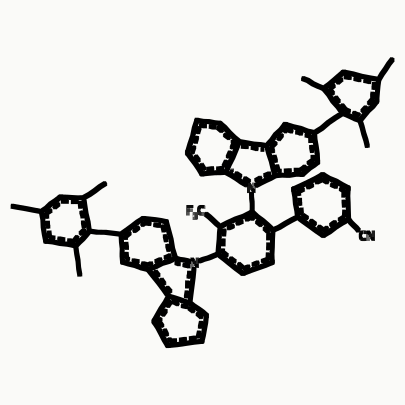 Cc1cc(C)c(-c2ccc3c(c2)c2ccccc2n3-c2ccc(-c3cccc(C#N)c3)c(-n3c4ccccc4c4cc(-c5c(C)cc(C)cc5C)ccc43)c2C(F)(F)F)c(C)c1